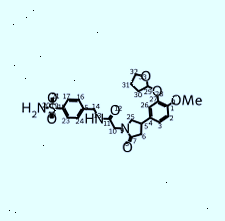 COc1ccc(C2CC(=O)N(CC(=O)NCc3ccc(S(N)(=O)=O)cc3)C2)cc1OC1CCCO1